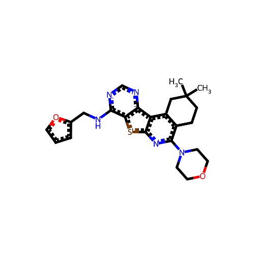 CC1(C)CCc2c(N3CCOCC3)nc3sc4c(NCc5ccco5)ncnc4c3c2C1